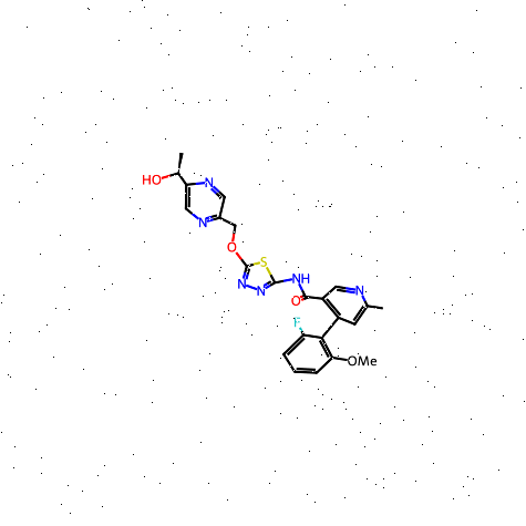 COc1cccc(F)c1-c1cc(C)ncc1C(=O)Nc1nnc(OCc2cnc([C@H](C)O)cn2)s1